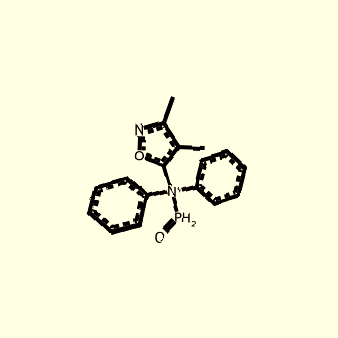 Cc1noc([N+]([PH2]=O)(c2ccccc2)c2ccccc2)c1C